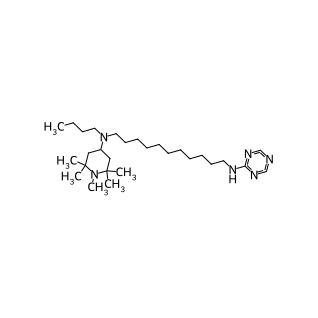 CCCCN(CCCCCCCCCCCNc1ncncn1)C1CC(C)(C)N(C)C(C)(C)C1